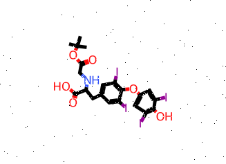 CC(C)(C)OC(=O)CNC(Cc1cc(I)c(Oc2cc(I)c(O)c(I)c2)c(I)c1)C(=O)O